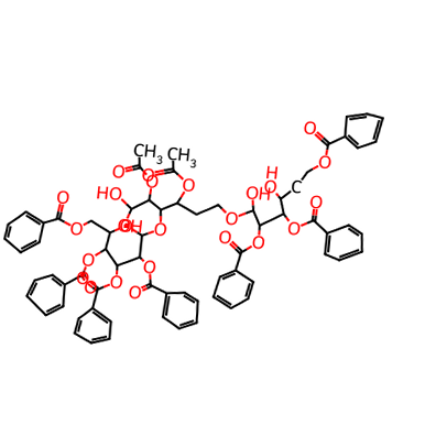 CC(=O)OC(CCOC(O)C(OC(=O)c1ccccc1)C(OC(=O)c1ccccc1)C(O)CCOC(=O)c1ccccc1)C(OC1OC(COC(=O)c2ccccc2)C(OC(=O)c2ccccc2)C(OC(=O)c2ccccc2)C1OC(=O)c1ccccc1)C(OC(C)=O)C(O)O